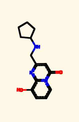 O=c1cc(CNC2CCCC2)nc2c(O)cccn12